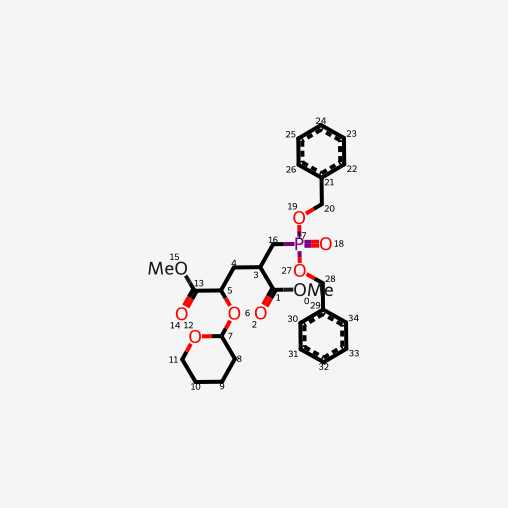 COC(=O)C(CC(OC1CCCCO1)C(=O)OC)CP(=O)(OCc1ccccc1)OCc1ccccc1